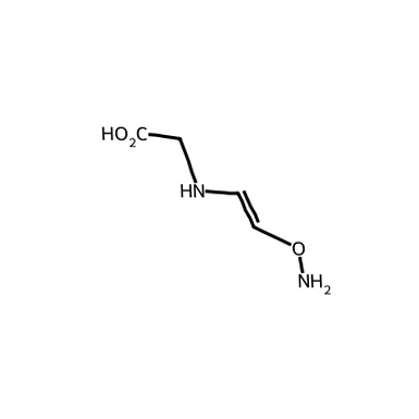 NOC=CNCC(=O)O